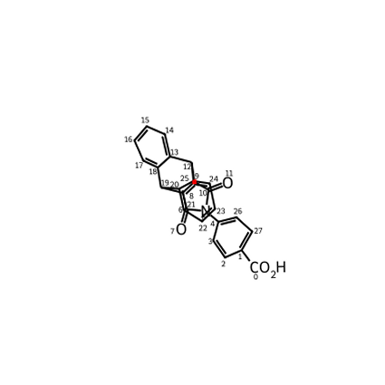 O=C(O)c1ccc(N2C(=O)C3=C(C2=O)C2c4ccccc4C3c3ccccc32)cc1